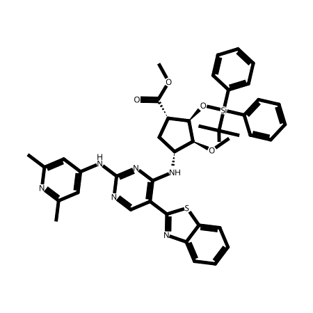 COC(=O)[C@H]1C[C@@H](Nc2nc(Nc3cc(C)nc(C)c3)ncc2-c2nc3ccccc3s2)[C@H](OC)[C@@H]1O[Si](c1ccccc1)(c1ccccc1)C(C)(C)C